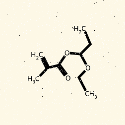 [CH2]CC(OCC)OC(=O)C(=C)C